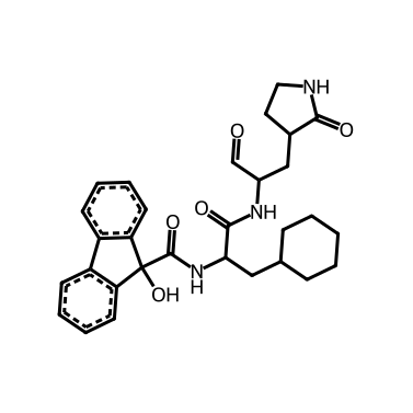 O=CC(CC1CCNC1=O)NC(=O)C(CC1CCCCC1)NC(=O)C1(O)c2ccccc2-c2ccccc21